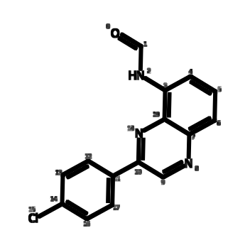 O=CNc1cccc2ncc(-c3ccc(Cl)cc3)nc12